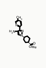 COC(=O)[C@H]1CC[C@H](n2cc(N)c(-c3ccc(C)cn3)n2)CC1